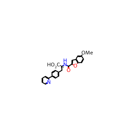 COc1ccc2oc(C(=O)N[C@@H](Cc3ccc(-c4ccccn4)cc3)C(=O)O)cc2c1